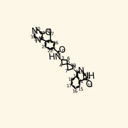 O=C(N[C@H]1CC2(C1)C[C@H](c1n[nH]c(=O)c3ccccc31)C2)c1ccc2c(c1)COc1cncnc1-2